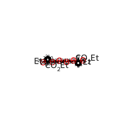 CCOC(=O)c1c(OCC)cccc1OCCOCCOCCOc1cccc(OCC)c1C(=O)OCC